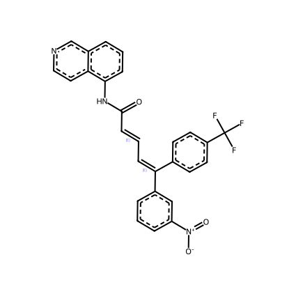 O=C(/C=C/C=C(\c1ccc(C(F)(F)F)cc1)c1cccc([N+](=O)[O-])c1)Nc1cccc2cnccc12